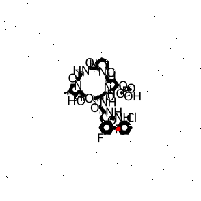 C[C@@H]1C[C@H]2[C@@H](O)O[C@@H](C)[C@H](NC(=O)[C@H](Cc3cc(F)cc(F)c3)NC(=O)Nc3ccccc3Cl)C(=O)N3C[C@H](OP(=O)(O)O)C[C@H]3C(=O)N3CCCC[C@H]3C(=O)N[C@@H](C)C(=O)N2C1